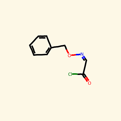 O=C(Cl)/C=N\OCc1ccccc1